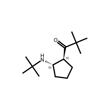 CC(C)(C)N[C@H]1CCC[C@@H]1C(=O)C(C)(C)C